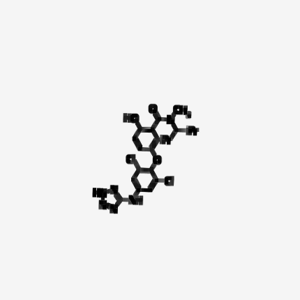 CC(C)C(C(C)C)N(C)C(=O)c1cc(Oc2c(Cl)cc(Nc3nn[nH]n3)cc2Cl)ccc1O